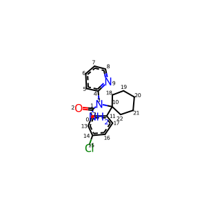 NC(=O)N(c1ccccn1)C1(c2ccc(Cl)cc2)CCCCC1